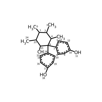 CC1C(C)C(C)C(c2ccc(O)cc2)(c2ccc(O)cc2)C(C)C1C